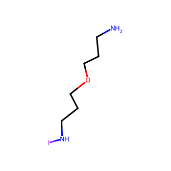 NCCCOCCCNI